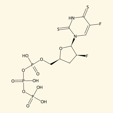 O=P(O)(O)OP(=O)(O)OP(=O)(O)OC[C@@H]1C[C@H](F)[C@H](n2cc(F)c(=S)[nH]c2=S)O1